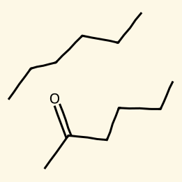 CCCCC(C)=O.CCCCCC